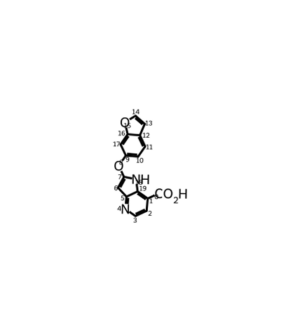 O=C(O)c1ccnc2cc(Oc3ccc4ccoc4c3)[nH]c12